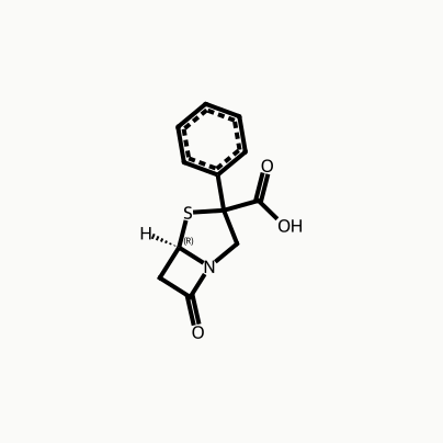 O=C1C[C@H]2SC(C(=O)O)(c3ccccc3)CN12